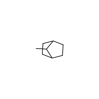 CC1C2CCC1CC2